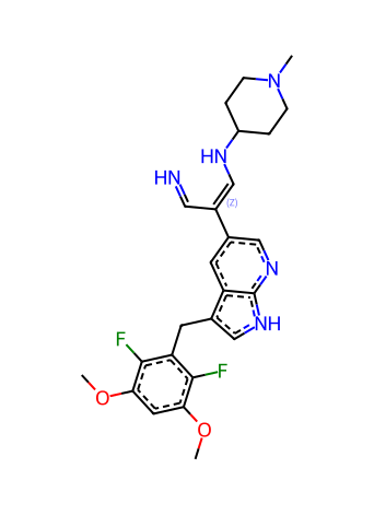 COc1cc(OC)c(F)c(Cc2c[nH]c3ncc(/C(C=N)=C/NC4CCN(C)CC4)cc23)c1F